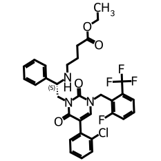 CCOC(=O)CCCN[C@H](Cn1c(=O)c(-c2ccccc2Cl)cn(Cc2c(F)cccc2C(F)(F)F)c1=O)c1ccccc1